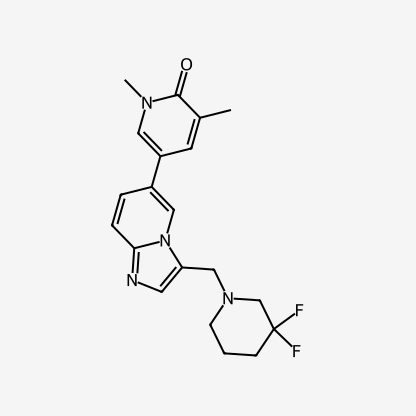 Cc1cc(-c2ccc3ncc(CN4CCCC(F)(F)C4)n3c2)cn(C)c1=O